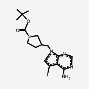 CC(C)(C)OC(=O)N1CCC(Cn2cc(I)c3c(N)ncnc32)C1